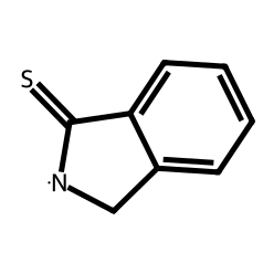 S=C1[N]Cc2ccccc21